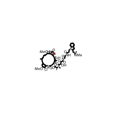 CNN(C)Cc1cc2ccccc2n1CCC(=O)NCCNC(=O)[C@H](O)[C@H](O)C(=O)N(C)[C@@H](C)C(=O)O[C@H]1CC(=O)N(C)c2cc(cc(OC)c2Cl)C/C(C)=C/C=C/[C@@H](OC)[C@@]2(O)C[C@H](OC(=O)N2)[C@@H](C)[C@@H]2C[C@]12C